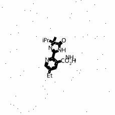 CCc1cnc(C2=NC(C)(C(C)C)C(=O)N2)c(C(=O)O)c1.N